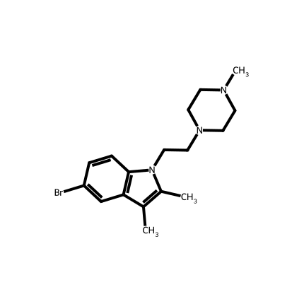 Cc1c(C)n(CCN2CCN(C)CC2)c2ccc(Br)cc12